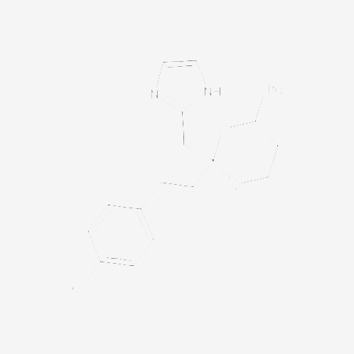 CC(C)(C)C1CCOC(CCc2ccc(Cl)cc2)(Cc2ncc[nH]2)O1